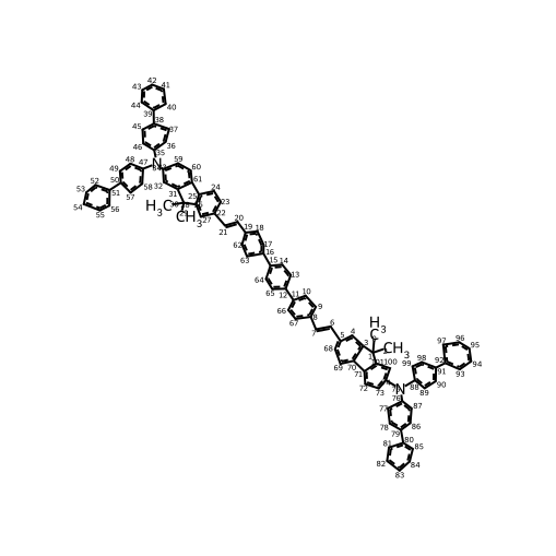 CC1(C)c2cc(/C=C/c3ccc(-c4ccc(-c5ccc(/C=C/c6ccc7c(c6)C(C)(C)c6cc(N(c8ccc(-c9ccccc9)cc8)c8ccc(-c9ccccc9)cc8)ccc6-7)cc5)cc4)cc3)ccc2-c2ccc(N(c3ccc(-c4ccccc4)cc3)c3ccc(-c4ccccc4)cc3)cc21